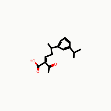 CC(=O)/C(=C\CC(C)c1cccc(C(C)C)c1)C(=O)O